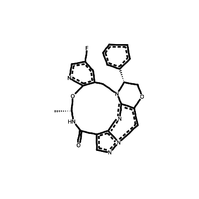 C[C@H]1NC(=O)c2cnn3cc4c(nc23)N(Cc2cc(F)cnc2O1)[C@H](c1ccccc1)CO4